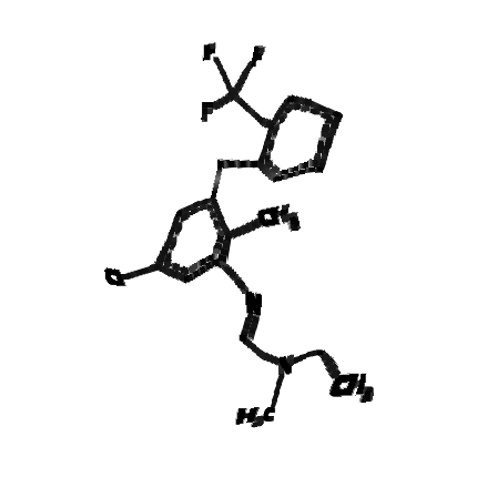 CCN(C)C=Nc1cc(Cl)cc(Cc2ccccc2C(F)(F)F)c1C